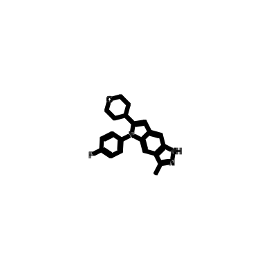 Cc1n[nH]c2cc3cc(C4CCOCC4)n(-c4ccc(F)cc4)c3cc12